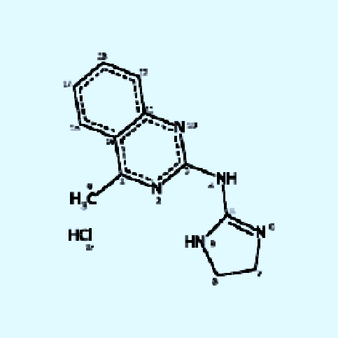 Cc1nc(NC2=NCCN2)nc2ccccc12.Cl